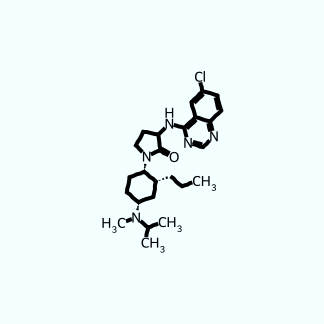 CCC[C@@H]1C[C@H](N(C)C(C)C)CC[C@@H]1N1CCC(Nc2ncnc3ccc(Cl)cc23)C1=O